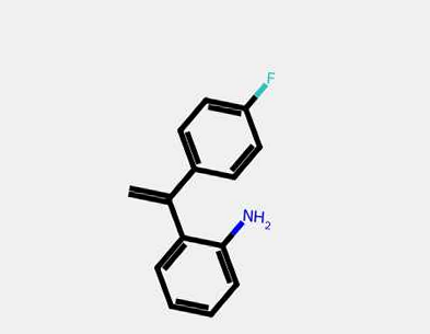 C=C(c1ccc(F)cc1)c1ccccc1N